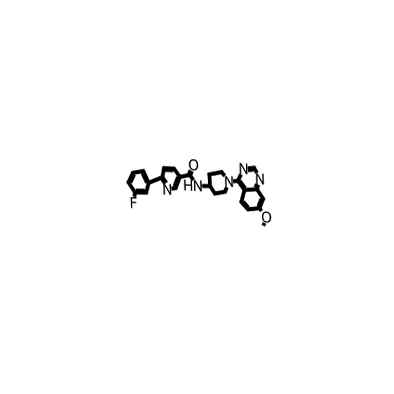 COc1ccc2c(N3CCC(NC(=O)c4ccc(-c5cccc(F)c5)nc4)CC3)ncnc2c1